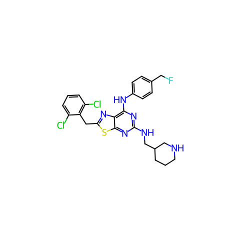 FCc1ccc(Nc2nc(NCC3CCCNC3)nc3sc(Cc4c(Cl)cccc4Cl)nc23)cc1